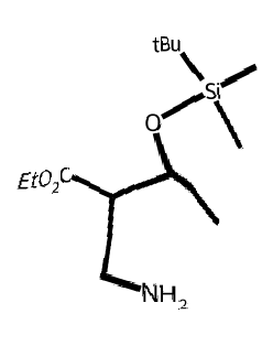 CCOC(=O)C(CN)C(C)O[Si](C)(C)C(C)(C)C